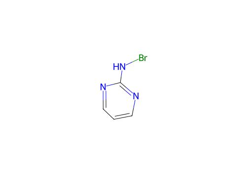 BrNc1ncccn1